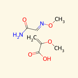 C=C(OC)C(=O)O.CON=CC(N)=O